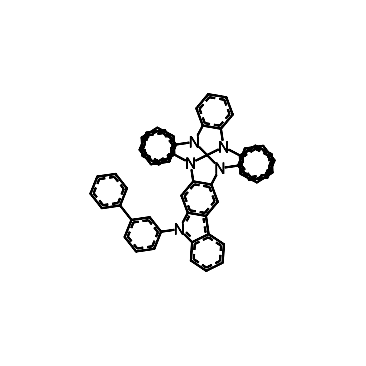 c1ccc(-c2cccc(-n3c4ccccc4c4cc5c(cc43)N(c3ccccc3)C3(N(c4ccccc4)c4ccccc4N3c3ccccc3)N5c3ccccc3)c2)cc1